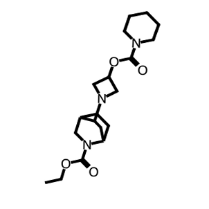 CCOC(=O)N1CC2CCC1CC2N1CC(OC(=O)N2CCCCC2)C1